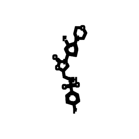 O=C1OC(CNS(=O)(=O)c2ccc(F)cc2)CN1c1ccc(N2CCOCC2)c(F)c1